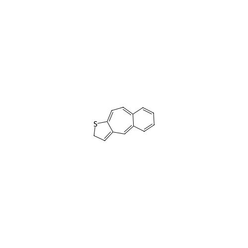 C1=C2C=c3ccccc3=CC=C2SC1